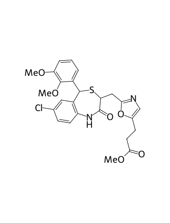 COC(=O)CCc1cnc(CC2SC(c3cccc(OC)c3OC)c3cc(Cl)ccc3NC2=O)o1